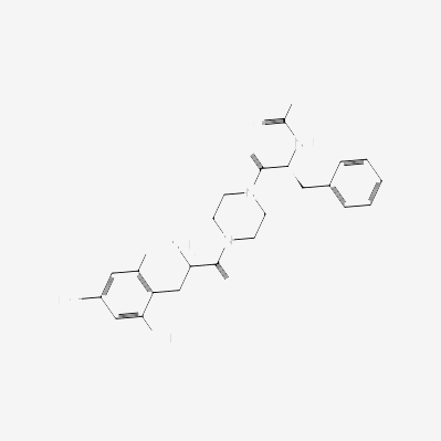 CC(=O)N[C@@H](Cc1ccccc1)C(=O)N1CCN(C(=O)C(N)Cc2c(C)cc(O)cc2C)CC1